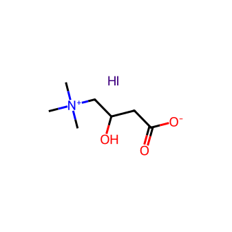 C[N+](C)(C)CC(O)CC(=O)[O-].I